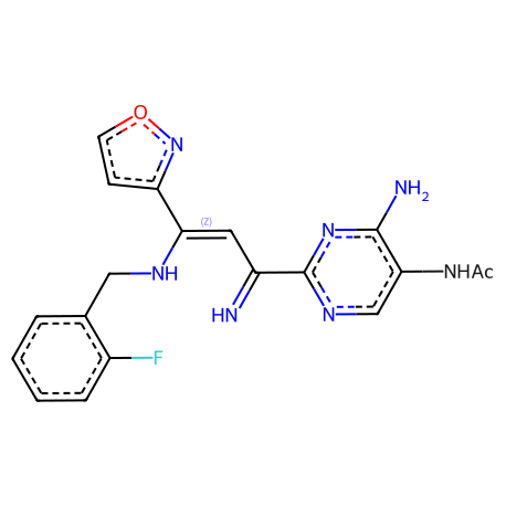 CC(=O)Nc1cnc(C(=N)/C=C(\NCc2ccccc2F)c2ccon2)nc1N